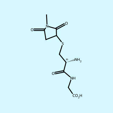 CN1C(=O)CC(SC[C@H](N)C(=O)NCC(=O)O)C1=O